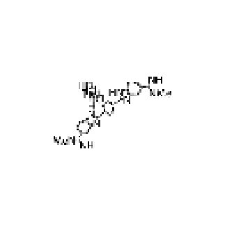 CNC(=N)c1ccc2[nH]c(-c3ccc(-c4nc5cc(C(=N)NC)ccc5[nH]4)cc3)nc2c1.Cl.Cl.Cl.Cl